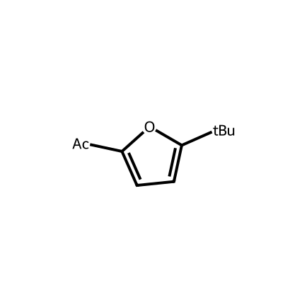 CC(=O)c1ccc(C(C)(C)C)o1